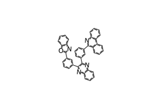 c1cc(-c2nc3ccccc3o2)cc(-c2nc3ccccc3nc2-c2cccc(-c3nc4ccccc4c4ccccc34)c2)c1